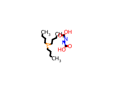 CCCCP(CCCC)CCCC.O=C(O)N=NC(=O)O